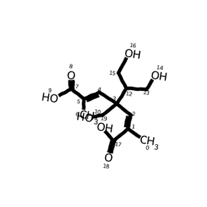 CC(=CC(C=C(C)C(=O)O)(CO)C(CO)CO)C(=O)O